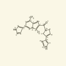 O=C(c1nc2c(C(F)(F)F)cc(-c3cn[nH]c3)cn2c1Cl)N1CC=C(c2c[nH]cn2)C1